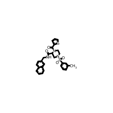 Cc1cccc(S(=O)(=O)N2CCN(C(=O)c3cccs3)C(C(=O)NCc3ccc4ccccc4c3)C2)c1